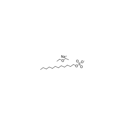 CCCCCCCCCCCCOS(=O)(=O)[O-].CCOCC.[Na+]